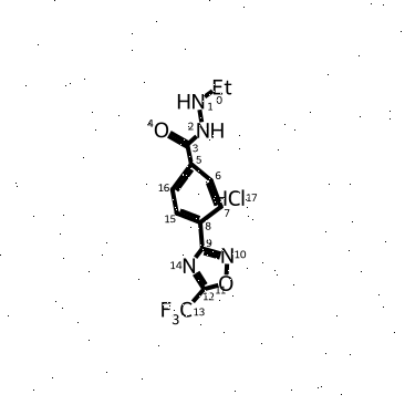 CCNNC(=O)c1ccc(-c2noc(C(F)(F)F)n2)cc1.Cl